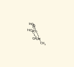 CCCCCCCCCCCCCOOO.O=C(O)CCCCC(=O)O